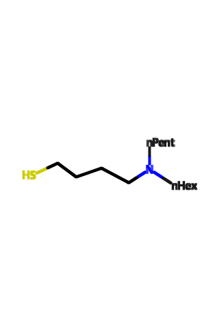 CCCCCCN(CCCCC)CCCCS